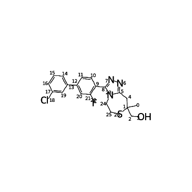 CC1(CO)Cc2nnc(-c3ccc(-c4cccc(Cl)c4)cc3F)n2CCS1